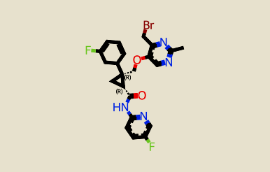 Cc1ncc(OC[C@@]2(C3C=CC=C(F)C3)C[C@H]2C(=O)Nc2ccc(F)cn2)c(CBr)n1